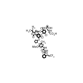 CC(C)=C1OC(=O)N(c2cc(OC3CCCC3)c(Cl)cc2F)C1=O.COc1c(Cl)ccc(Cl)c1C(=O)O.COc1nc(C)nc(NC(=O)NS(=O)(=O)c2ccccc2CCC(F)(F)F)n1.O=C(O)CNCP(=O)(O)O